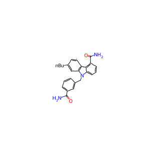 CCCCc1c[c]c2c3c(C(N)=O)cccc3n(Cc3cccc(C(N)=O)c3)c2c1